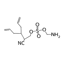 C=CCC(CC=C)C(C#N)COS(=O)(=O)OCN